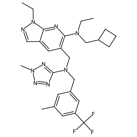 CCN(CC1CCC1)c1nc2c(cnn2CC)cc1CN(Cc1cc(C)cc(C(F)(F)F)c1)c1nnn(C)n1